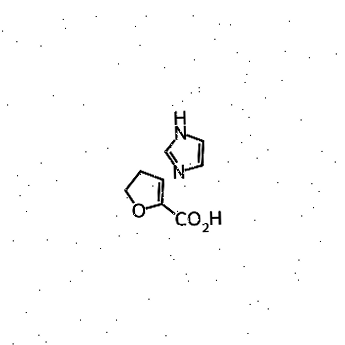 O=C(O)C1=CCCO1.c1c[nH]cn1